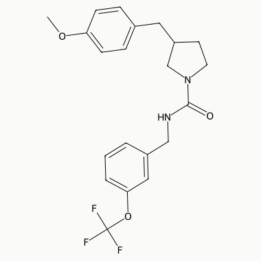 COc1ccc(CC2CCN(C(=O)NCc3cccc(OC(F)(F)F)c3)C2)cc1